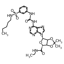 CCCCCNS(=O)(=O)c1cccc(NC(=O)Nc2ncnc3c2ncn3[C@@H]2O[C@H](C(=O)NCC)C3OC(C)(C)OC32)c1